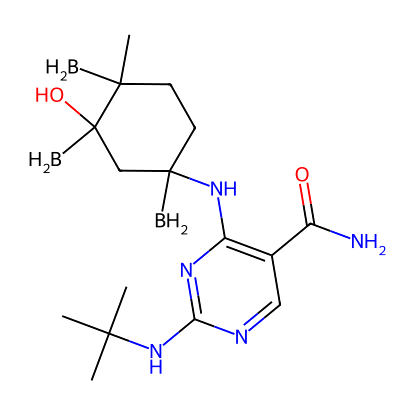 BC1(Nc2nc(NC(C)(C)C)ncc2C(N)=O)CCC(B)(C)C(B)(O)C1